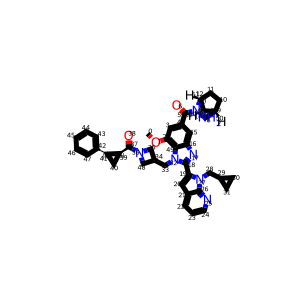 COc1cc(C(=O)N2C[C@H]3CC[C@@H]2[C@@H]3N)cc2nc(-c3cc4cccnc4n3CC3CC3)n(CC3CN(C(=O)[C@H]4C[C@@H]4c4ccccc4)C3)c12